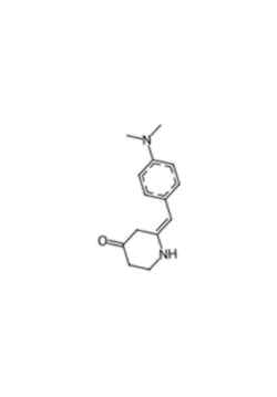 CN(C)c1ccc(/C=C2\CC(=O)CCN2)cc1